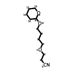 N#CCCOCCCCOC1CCCCO1